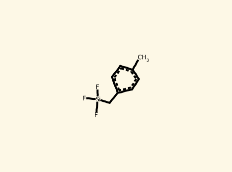 Cc1ccc(C[Si](F)(F)F)cc1